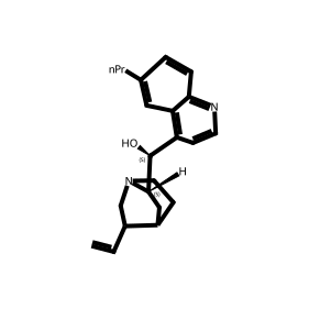 C=CC1CN2CCC1C[C@H]2[C@@H](O)c1ccnc2ccc(CCC)cc12